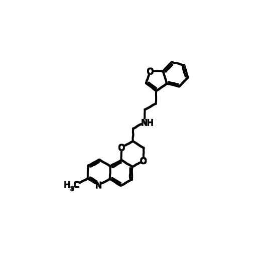 Cc1ccc2c3c(ccc2n1)OCC(CNCCc1coc2ccccc12)O3